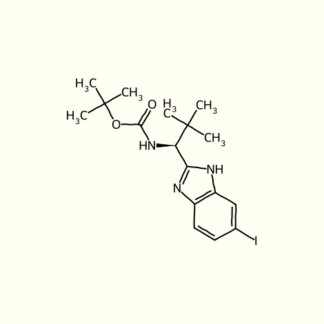 CC(C)(C)OC(=O)N[C@H](c1nc2ccc(I)cc2[nH]1)C(C)(C)C